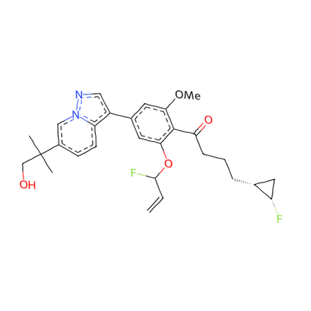 C=CC(F)Oc1cc(-c2cnn3cc(C(C)(C)CO)ccc23)cc(OC)c1C(=O)CCC[C@@H]1C[C@@H]1F